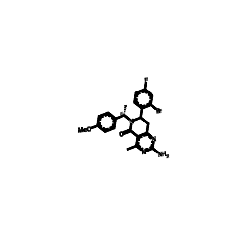 COc1ccc([C@H](C)N2C(=O)c3c(C)nc(N)nc3CC2c2ccc(F)cc2Br)cc1